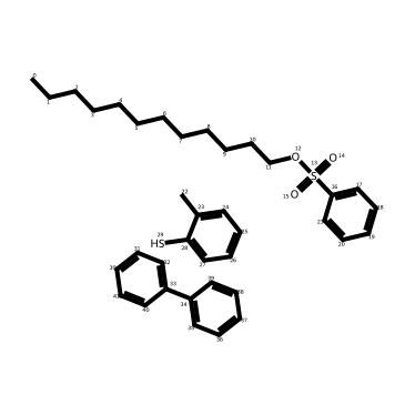 CCCCCCCCCCCCOS(=O)(=O)c1ccccc1.Cc1ccccc1S.c1ccc(-c2ccccc2)cc1